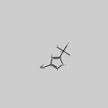 CC(C)(C)c1csc(C(C)(C)I)n1